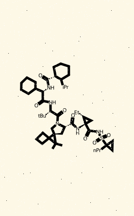 CCCC1(S(=O)(=O)NC(=O)[C@@]2(NC(=O)[C@@H]3C[C@@]4(CN3C(=O)[C@@H](NC(=O)[C@@H](NC(=O)[C@@H]3CCCCC3C(C)C)C3CCCCC3)C(C)(C)C)C(C)(C)C43CCC3)C[C@H]2CC)CC1